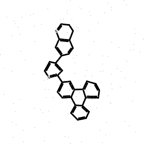 C1=Nc2cc(-c3ccnc(-c4ccc5c6ccccc6c6ccccc6c5c4)c3)ccc2CC1